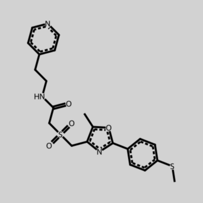 CSc1ccc(-c2nc(CS(=O)(=O)CC(=O)NCCc3ccncc3)c(C)o2)cc1